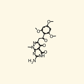 COc1cc(OC)c(C(=O)Cc2nn(C)c3nc(N)[nH]c(=O)c3c2=O)c(OC)c1